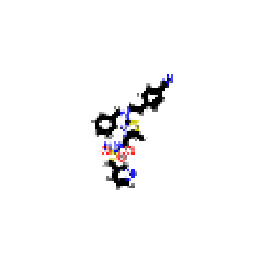 Cc1sc(N(CCc2ccc(C#N)cc2)CC2CCCCC2)nc1C(=O)NS(=O)(=O)Cc1cccnc1